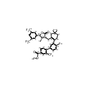 C[C@H]1[C@@H](c2cc(C(F)(F)F)cc(C(F)(F)F)c2)OC(=O)N1CC1=C(c2cc(-c3ccc(C(=O)OF)cc3C(F)(F)F)ccc2F)CCC(C)(C)C1